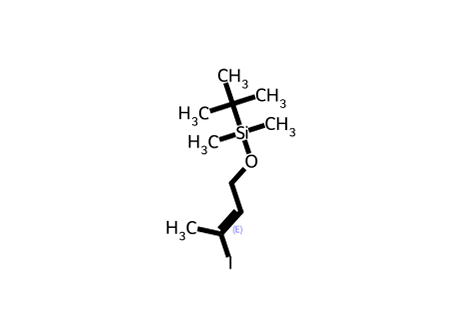 C/C(I)=C\CO[Si](C)(C)C(C)(C)C